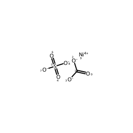 O=C([O-])[O-].O=S(=O)([O-])[O-].[Ni+4]